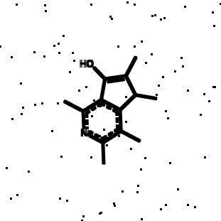 CC1=C(O)c2c(C)nc(C)c(C)c2C1C